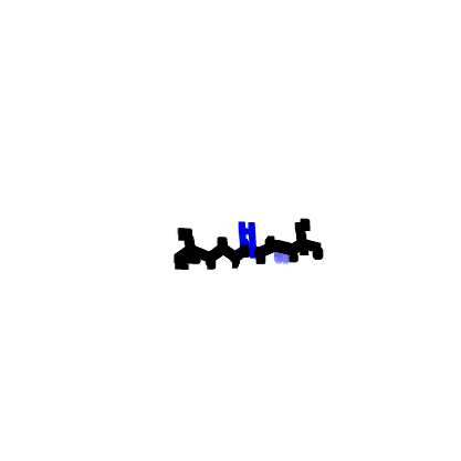 CC(C)/C=C/CNCCCC(C)C